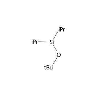 CC(C)[Si](OC(C)(C)C)C(C)C